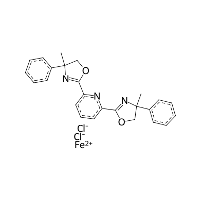 CC1(c2ccccc2)COC(c2cccc(C3=NC(C)(c4ccccc4)CO3)n2)=N1.[Cl-].[Cl-].[Fe+2]